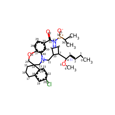 CC/C=C/C(OC)C1CCC1CN1CC2(CCCc3cc(Cl)ccc32)COc2ccc(C(=O)N[S+]([O-])C(C)C)cc21